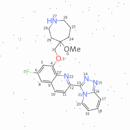 COC1(COc2cc(F)cc3ccc(-c4nnc5ccccn45)nc23)CCCNCC1